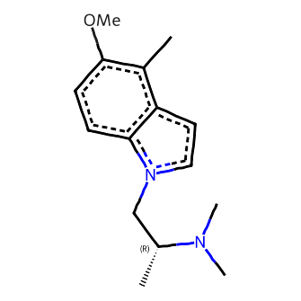 COc1ccc2c(ccn2C[C@@H](C)N(C)C)c1C